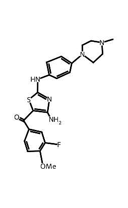 COc1ccc(C(=O)c2sc(Nc3ccc(N4CCN(C)CC4)cc3)nc2N)cc1F